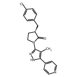 Cc1c(N2CC[C@@H](Cc3ccc(Cl)cc3)C2=O)n[nH]c1-c1ccncc1